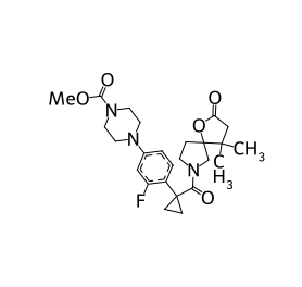 COC(=O)N1CCN(c2ccc(C3(C(=O)N4CCC5(C4)OC(=O)CC5(C)C)CC3)c(F)c2)CC1